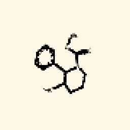 CC(C)(C)OC(=O)N1CCCC(C=O)C1c1ccccc1